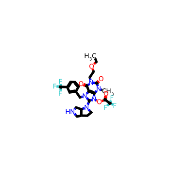 CCOCCn1c(=O)c2c(n(C)c1=O)N(OC(=O)C(F)(F)F)C(N1CCC3CNCC31)N2Cc1cccc(C(F)(F)F)c1